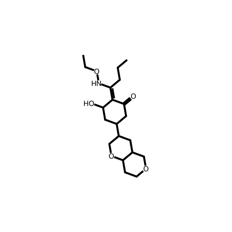 CCCC(NOCC)=C1C(=O)CC(C2COC3CCOCC3C2)CC1O